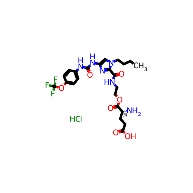 CCCCn1cc(NC(=O)Nc2ccc(OC(F)(F)F)cc2)nc1C(=O)NCCOC(=O)[C@H](N)CCC(=O)O.Cl